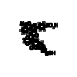 COC(=O)c1c2c(c(C(=O)Oc3nc(-c4ccc(S(=O)(=O)O)cc4)nc(OC)c3-c3ccccc3)n1Cc1ccc(SOOO)cc1)OCCO2